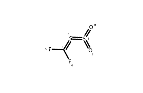 O=S(=O)=S=C(F)F